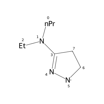 CCCN(CC)C1=N[N]CC1